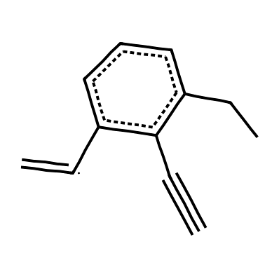 C#Cc1c([C]=C)cccc1CC